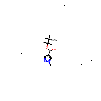 COC(C)(C)C(C)(C)OB(O)c1cnn(C)c1